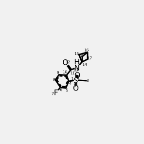 CS(=O)(=O)c1cc(F)ccc1C(=O)NC12CC(C1)C2